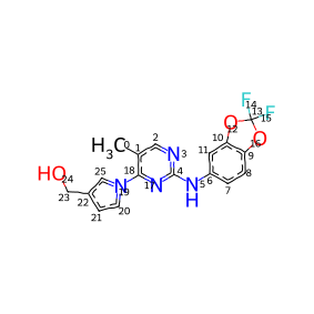 Cc1cnc(Nc2ccc3c(c2)OC(F)(F)O3)nc1-n1ccc(CO)c1